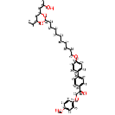 CCC1CC(CC(C)O)OC(CCCCCCCCCCOc2ccc(-c3ccc(C(=O)COc4ccc(O)cc4)cc3)cc2)O1